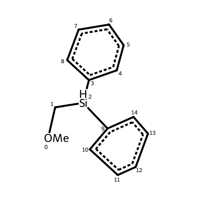 COC[SiH](c1ccccc1)c1ccccc1